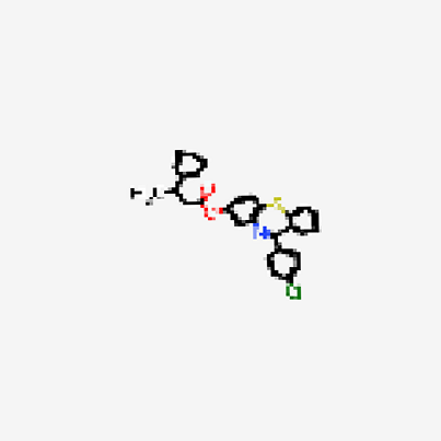 CC(CC(=O)Oc1ccc2c(c1)N=C(c1ccc(Cl)cc1)c1ccccc1S2)c1ccccc1